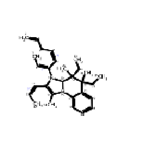 C=CC/C=C\C(=C/C)N1C(/C=C\C)=C(C)N2c3ccccc3C(C)(CC)C(C)(CC)C12